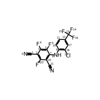 N#Cc1c(F)c(F)c(Nc2ccc(C(F)(F)F)cc2Cl)c(C#N)c1F